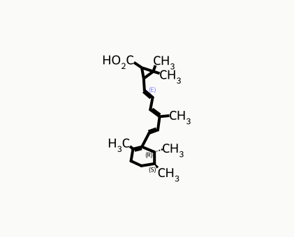 CC(C=CC1=C(C)CC[C@H](C)[C@H]1C)=C/C=C/C1C(C(=O)O)C1(C)C